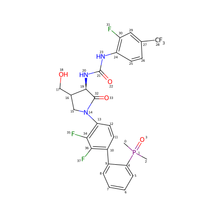 CP(C)(=O)c1ccccc1-c1ccc(N2CC(CO)[C@@H](NC(=O)Nc3ccc(C(F)(F)F)cc3F)C2=O)c(F)c1F